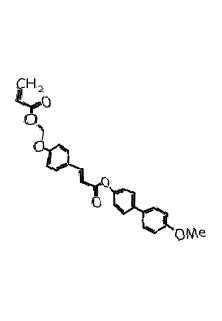 C=CC(=O)OCOc1ccc(C=CC(=O)Oc2ccc(-c3ccc(OC)cc3)cc2)cc1